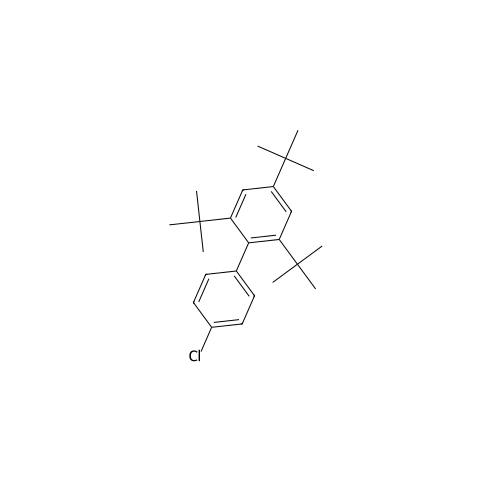 CC(C)(C)c1cc(C(C)(C)C)c(-c2ccc(Cl)cc2)c(C(C)(C)C)c1